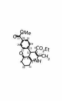 CCOC(=O)C1=C(C)NC2=C(C(=O)CCC2)C1c1ccc(C(=O)OC)cc1